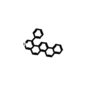 c1ccc(-c2cncc3ccc4c5ccc6ccccc6c5ccc4c23)cc1